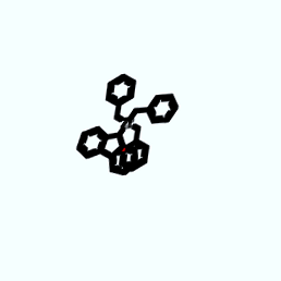 c1ccc([CH2][Zr]([CH2]c2ccccc2)([CH2]c2ccccc2)[CH]2c3ccccc3-c3ccccc32)cc1